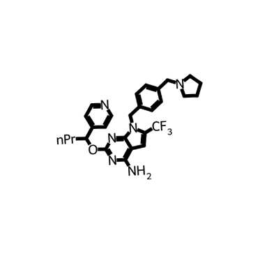 CCCC(Oc1nc(N)c2cc(C(F)(F)F)n(Cc3ccc(CN4CCCC4)cc3)c2n1)c1ccncc1